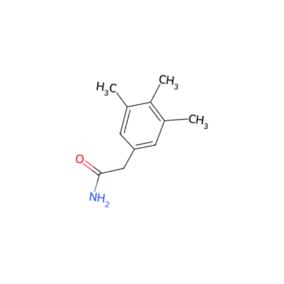 Cc1cc(CC(N)=O)cc(C)c1C